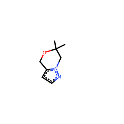 CC1(C)Cn2nccc2CO1